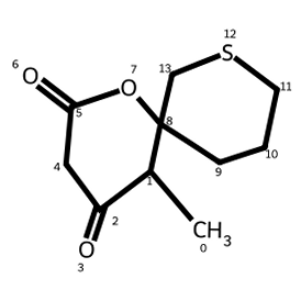 CC1C(=O)CC(=O)OC12CCCSC2